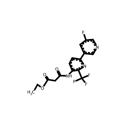 CCOC(=O)CC(=O)Nc1ccc(-c2cncc(F)c2)nc1C(F)(F)F